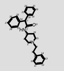 O=C(NC1CCN(CCc2ccccc2)CC1)C(c1ccccc1)c1ccccc1